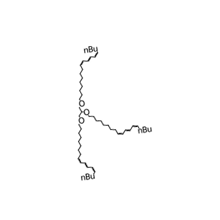 CCCC\C=C/C=C/C=C\CCCCCCCCOCC(COCCCCCCCC\C=C/C=C/C=C\CCCC)OCCCCCCCC\C=C/C=C/C=C\CCCC